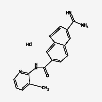 Cc1cccnc1NC(=O)c1ccc2cc(C(=N)N)ccc2c1.Cl